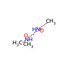 CCCCCC(=O)NCCCCCC(=O)NCC(C)C